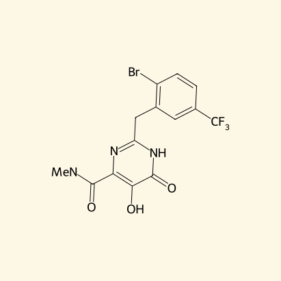 CNC(=O)c1nc(Cc2cc(C(F)(F)F)ccc2Br)[nH]c(=O)c1O